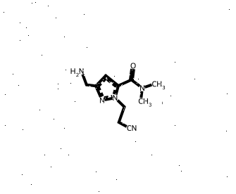 CN(C)C(=O)c1cc(CN)nn1CCC#N